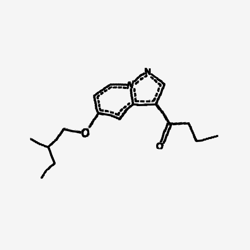 CCCC(=O)c1cnn2ccc(OCC(C)CC)cc12